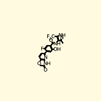 Cc1n[nH]c(C(F)(F)F)c1NC(=O)c1cc(F)c(-c2ccc3c(n2)NC(=O)CO3)cc1O